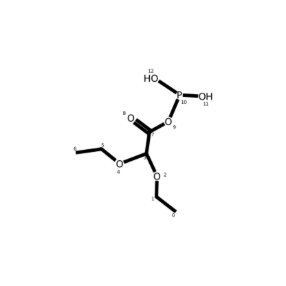 CCOC(OCC)C(=O)OP(O)O